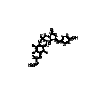 Cc1c(C)c2c(c(C)c1OC(=O)OC(C)(C)C)CCC(C)(CN1C(=O)S/C(=C\c3ccc(O)cc3)C1=O)O2